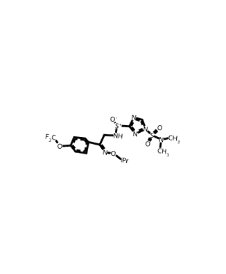 CC(C)O/N=C(\CN[S+]([O-])c1ncn(S(=O)(=O)N(C)C)n1)c1ccc(OC(F)(F)F)cc1